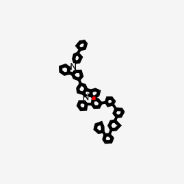 c1ccc(-c2ccc(-n3c4ccccc4c4cc(-c5ccc6c(c5)c5ccccc5n6-c5ccccc5-c5ccc(-c6cccc(-c7cccc(-c8ccc(-c9ccccc9-c9ccccc9)cc8)c7)c6)cc5)ccc43)cc2)cc1